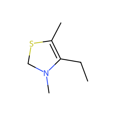 CCC1=C(C)SCN1C